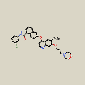 COc1cc2c(Oc3ccc4c(C(=O)Nc5cccc(Cl)c5)cccc4c3)ccnc2cc1OCCCN1CCOCC1